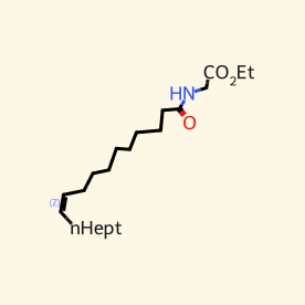 CCCCCCC/C=C\CCCCCCCCC(=O)NCC(=O)OCC